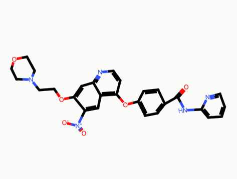 O=C(Nc1ccccn1)c1ccc(Oc2ccnc3cc(OCCN4CCOCC4)c([N+](=O)[O-])cc23)cc1